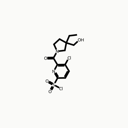 CCC1(CO)CCN(C(=O)c2nc(S(=O)(=O)Cl)ccc2Cl)C1